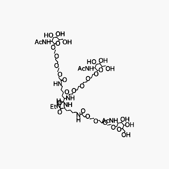 CCNC(=O)C(CCCCNC(=O)COCCOCCOCCOC1OC(CO)C(O)C(O)C1NC(C)=O)NC(=O)C(CCCCNC(=O)COCCOCCOCCOC1OC(CO)C(O)C(O)C1NC(C)=O)NC(=O)COCCOCCOCCOC1OC(CO)C(O)C(O)C1NC(C)=O